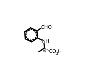 C[C@H](Nc1ccccc1C=O)C(=O)O